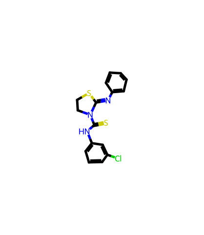 S=C(Nc1cccc(Cl)c1)N1CCSC1=Nc1ccccc1